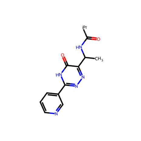 CC(C)C(=O)NC(C)c1nnc(-c2cccnc2)[nH]c1=O